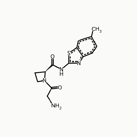 Cc1ccc2nc(NC(=O)[C@@H]3CCN3C(=O)CN)sc2c1